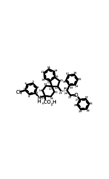 O=C(O)C1(Nc2cccc(Cl)c2)CCC2(CC1)c1ccccc1CC2C[C@@H](COc1ccccc1)c1ccccc1